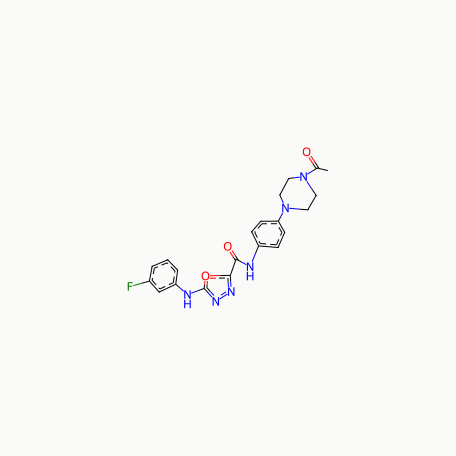 CC(=O)N1CCN(c2ccc(NC(=O)c3nnc(Nc4cccc(F)c4)o3)cc2)CC1